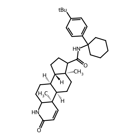 CC(C)(C)c1ccc(C2(NC(=O)C3CC[C@H]4[C@@H]5CCC6NC(=O)C=C[C@]6(C)[C@@H]5CC[C@]34C)CCCCC2)cc1